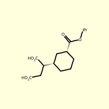 CC(C)OC(=O)[C@@H]1CCC[C@H](C(CC(=O)O)C(=O)O)C1